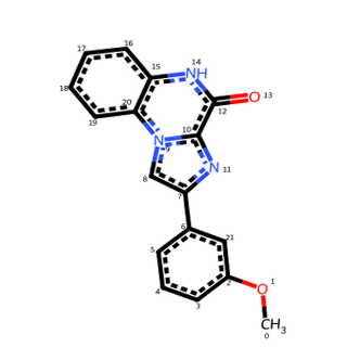 COc1cccc(-c2cn3c(n2)c(=O)[nH]c2ccccc23)c1